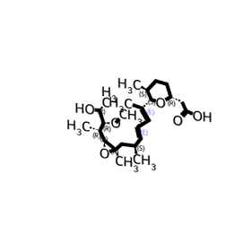 CO[C@H]([C@@H](C)[C@H]1O[C@]1(C)C[C@H](C)/C=C/C=C(\C)[C@H]1O[C@@H](CC(=O)O)CC[C@@H]1C)[C@@H](C)O